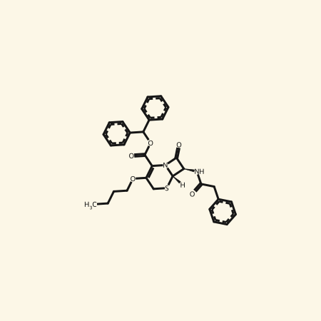 CCCCOC1=C(C(=O)OC(c2ccccc2)c2ccccc2)N2C(=O)[C@@H](NC(=O)Cc3ccccc3)[C@@H]2SC1